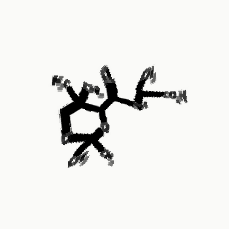 CC(NC(=O)C1OC(C)(C)OCC1(C)C)C(=O)O